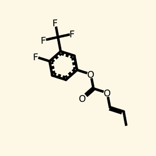 C/C=C/OC(=O)Oc1ccc(F)c(C(F)(F)F)c1